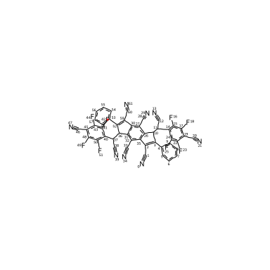 N#CC1=C(c2ccccc2)C(C(C#N)c2c(F)c(F)c(C#N)c(F)c2F)c2c(C#N)c3c(c(C#N)c21)C(C(C#N)c1c(F)c(F)c(C#N)c(F)c1F)C(c1ccccc1)=C3C#N